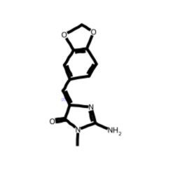 CN1C(=O)/C(=C/c2ccc3c(c2)OCO3)N=C1N